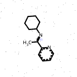 C/C(=N\C1CCCCC1)c1ccccn1